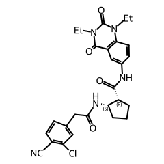 CCn1c(=O)c2cc(NC(=O)[C@@H]3CCC[C@@H]3NC(=O)Cc3ccc(C#N)c(Cl)c3)ccc2n(CC)c1=O